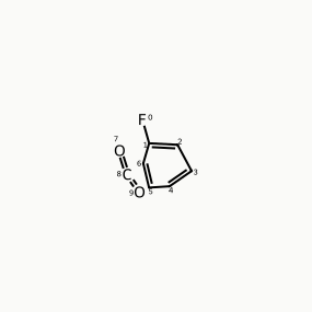 Fc1ccccc1.O=C=O